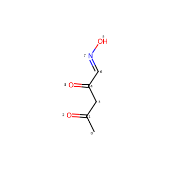 CC(=O)CC(=O)C=NO